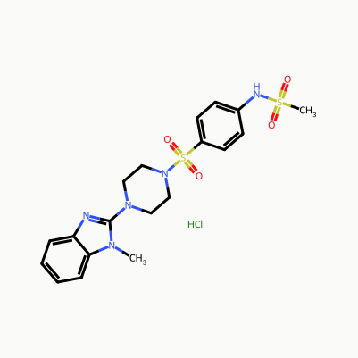 Cl.Cn1c(N2CCN(S(=O)(=O)c3ccc(NS(C)(=O)=O)cc3)CC2)nc2ccccc21